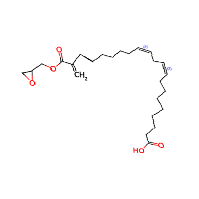 C=C(CCCCCC/C=C\C/C=C\CCCCCCCC(=O)O)C(=O)OCC1CO1